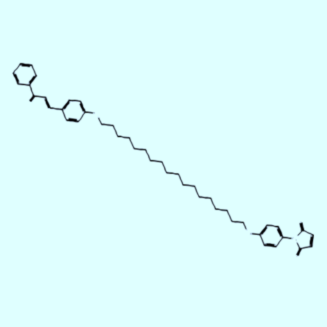 O=C(C=Cc1ccc(OCCCCCCCCCCCCCCCCCCOc2ccc(N3C(=O)C=CC3=O)cc2)cc1)c1ccccc1